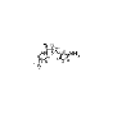 CC(C)N1CCN(C(=O)[C@H]2CCN(c3cccc(N)c3)C2)CC1